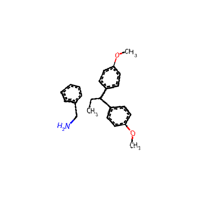 CCC(c1ccc(OC)cc1)c1ccc(OC)cc1.NCc1ccccc1